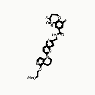 COCCOc1nccc2c1CCCN2c1ccc2cnc(CNC(=O)c3cc(F)c4c(c3)S(=O)(=O)[C@@H](F)CCO4)cc2n1